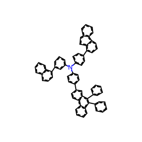 c1ccc(-c2c(-c3ccccc3)c3cc(-c4ccc(N(c5ccc(-c6cccc7c6ccc6ccccc67)cc5)c5cccc(-c6cccc7ccccc67)c5)cc4)ccc3c3ccccc23)cc1